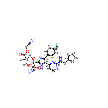 CC1(C(=O)OCC#N)COC(C(N)=O)(c2nc(-c3ccc(F)cc3)c(-c3ccnc(NCC4CCCO4)n3)[nH]2)OC1